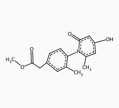 COC(=O)Cc1ccc(-n2c(C)cc(O)cc2=O)c(C)c1